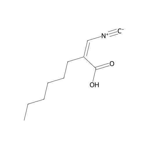 [C-]#[N+]C=C(CCCCCC)C(=O)O